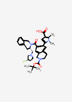 Cc1c(C(=O)O)cc(-c2cc3c(cc2C(=O)N2Cc4ccccc4C[C@H]2CN2CC[C@@H](F)C2)CN(C(=O)OC(C)(C)C)CC3)n1C